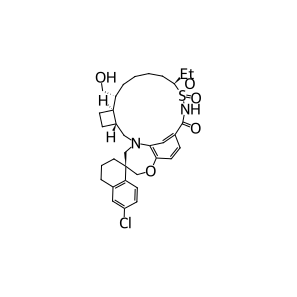 CC[C@@H]1CCCC[C@@H](CO)[C@@H]2CC[C@H]2CN2C[C@@]3(CCCc4cc(Cl)ccc43)COc3ccc(cc32)C(=O)NS1(=O)=O